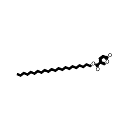 CCCCCCCCCCCCCCCCCCCCCCOC(=O)c1ccc(=O)oc1